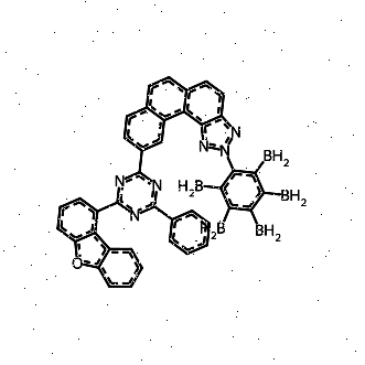 Bc1c(B)c(B)c(-n2nc3ccc4ccc5ccc(-c6nc(-c7ccccc7)nc(-c7cccc8oc9ccccc9c78)n6)cc5c4c3n2)c(B)c1B